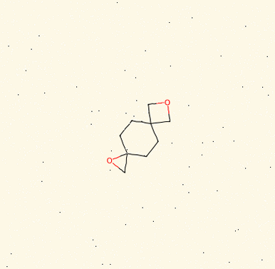 C1CC2(CCC13COC3)CO2